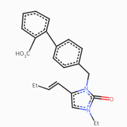 CC/C=C/c1cn(CC)c(=O)n1Cc1ccc(-c2ccccc2C(=O)O)cc1